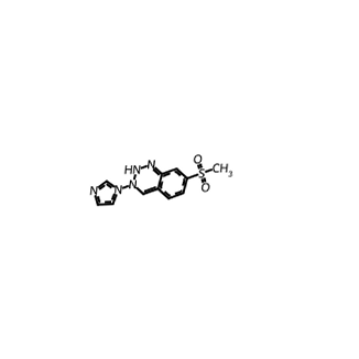 CS(=O)(=O)c1ccc2c(c1)=NNN(n1ccnc1)C=2